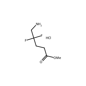 COC(=O)CCC(F)(F)CN.Cl